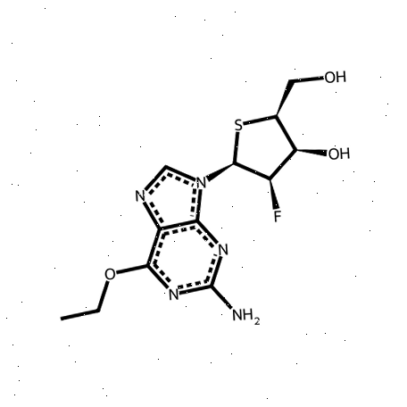 CCOc1nc(N)nc2c1ncn2[C@H]1S[C@@H](CO)[C@@H](O)[C@H]1F